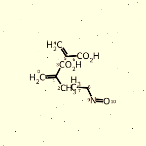 C=C(C)C(=O)O.C=CC(=O)O.CCN=O